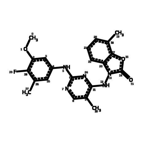 COc1cc(Nc2ncc(C)c(Nn3c(=O)oc4c(C)cccc43)n2)cc(C)c1F